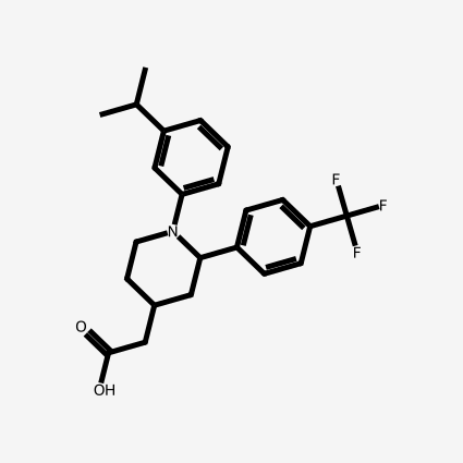 CC(C)c1cccc(N2CCC(CC(=O)O)CC2c2ccc(C(F)(F)F)cc2)c1